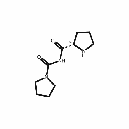 O=C(NC(=O)N1CCCC1)[C@@H]1CCCN1